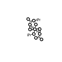 CC(C)c1ccc(N(c2ccccc2)c2ccc3c4cccc5c6c(-c7cccc(C(C)C)c7)c7c(c(-c8ccccc8)c6n(c3c2)c45)c2cccc3c4ccc(N(c5ccccc5)c5ccccc5)cc4n7c32)cc1